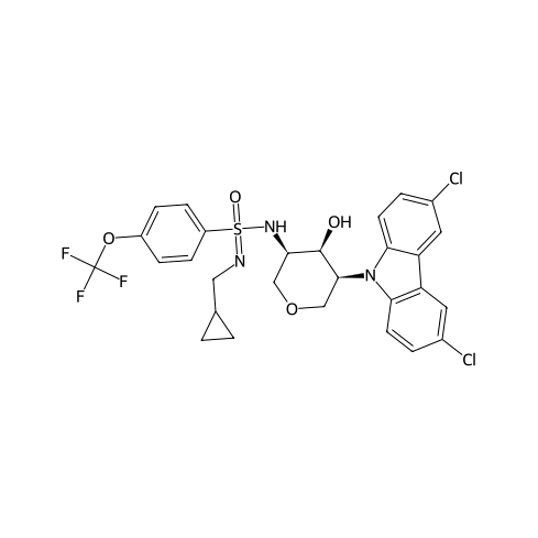 O=S(=NCC1CC1)(N[C@@H]1COC[C@H](n2c3ccc(Cl)cc3c3cc(Cl)ccc32)[C@@H]1O)c1ccc(OC(F)(F)F)cc1